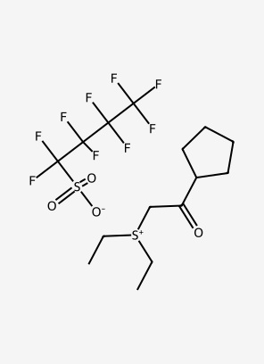 CC[S+](CC)CC(=O)C1CCCC1.O=S(=O)([O-])C(F)(F)C(F)(F)C(F)(F)C(F)(F)F